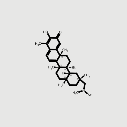 CC[C@@]12CC[C@@]3(C)C4=CC(=O)C(O)=C(C)C4=CC=C3[C@@]1(C)CC[C@@]1(C)CC[C@@](C)(CN(C)C(C)=O)C[C@H]12